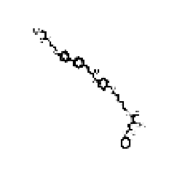 C=CC(=O)OCCOc1ccc(-c2ccc(/C=C/C(=O)Oc3ccc(OCCCCCCOC(=O)C(=C)CC(=O)OC4CCCCC4)cc3)cc2)cc1